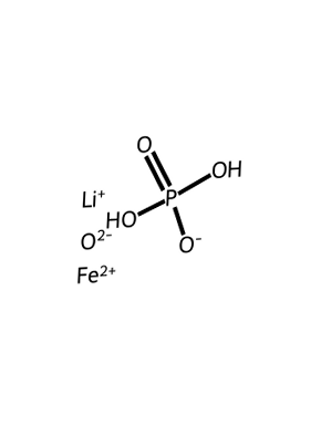 O=P([O-])(O)O.[Fe+2].[Li+].[O-2]